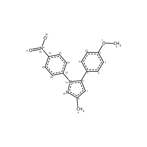 COc1ccc(-c2cc(C)nn2-c2ccc([N+](=O)[O-])cc2)cc1